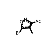 CC(=O)c1noc(Br)c1C